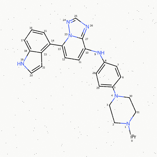 CC(C)N1CCN(c2ccc(Nc3ccc(-c4cccc5[nH]ccc45)n4ncnc34)cc2)CC1